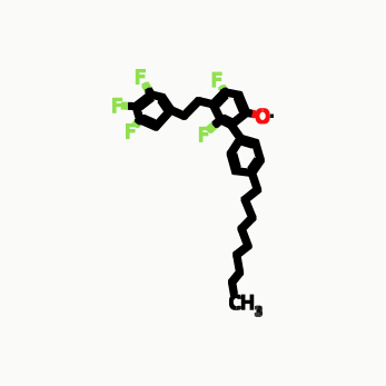 CCCCCCCCCc1ccc(-c2c([O])cc(F)c(CCc3cc(F)c(F)c(F)c3)c2F)cc1